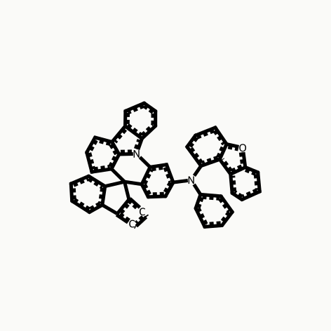 c1ccc(N(c2ccc3c(c2)-n2c4ccccc4c4cccc(c42)C32c3ccccc3-c3ccccc32)c2cccc3oc4ccccc4c23)cc1